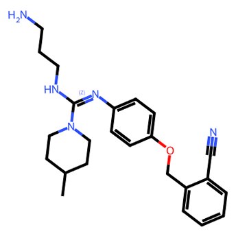 CC1CCN(/C(=N\c2ccc(OCc3ccccc3C#N)cc2)NCCCN)CC1